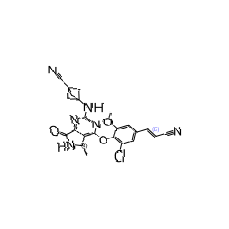 COc1cc(/C=C/C#N)cc(Cl)c1Oc1nc(NC23CC(C#N)(C2)C3)nc2c1[C@@H](C)NC2=O